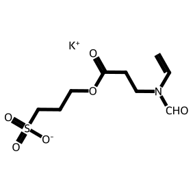 C=CN(C=O)CCC(=O)OCCCS(=O)(=O)[O-].[K+]